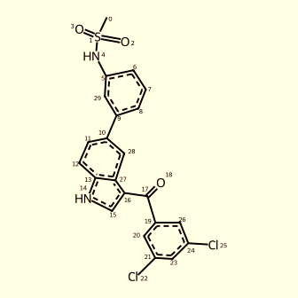 CS(=O)(=O)Nc1cccc(-c2ccc3[nH]cc(C(=O)c4cc(Cl)cc(Cl)c4)c3c2)c1